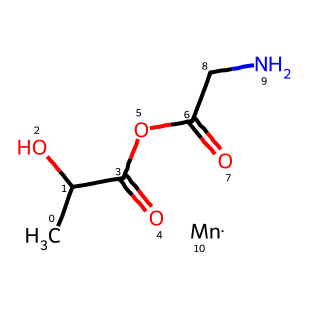 CC(O)C(=O)OC(=O)CN.[Mn]